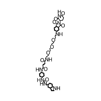 O=C(/C=C/C(=O)Nc1ccc(NC(=O)Nc2ccc3[nH]ccc3c2)cc1)NCCOCCOCCOCCNc1ccc2c(c1)C(=O)N(C1CCC(=O)NC1=O)C2=O